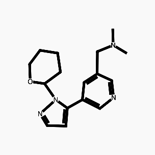 CN(C)Cc1cncc(-c2ccnn2C2CCCCO2)c1